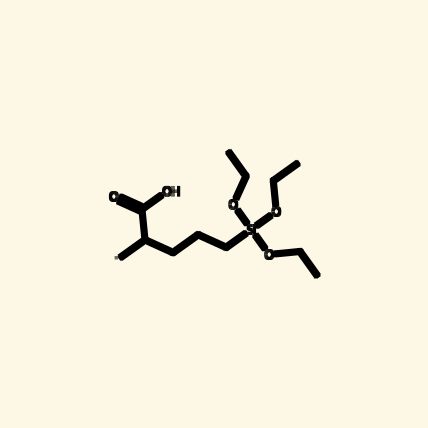 [CH2]C(CCC[Si](OCC)(OCC)OCC)C(=O)O